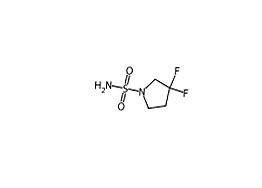 NS(=O)(=O)N1CCC(F)(F)C1